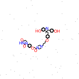 CC1(Cc2ccc(OCCCCN3CCN(C(=O)COc4ccc(N5CCC(=O)NC5=O)cc4)CC3)cc2)C(c2ccc(O)cc2)=Nc2ccc(O)cc21